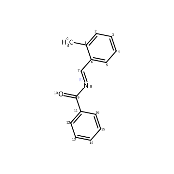 Cc1ccccc1/C=N/C(=O)c1ccccc1